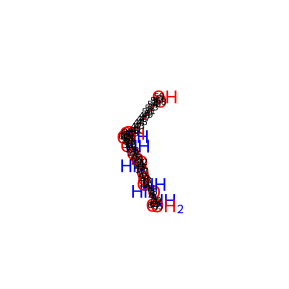 N[C@@H](CSCC(=O)NCCNC(=O)COCCOCCNC(=O)COCCOCCNC(=O)CC[C@H](NC(=O)CCCCCCCCCCCCCCCCCCC(=O)O)C(=O)O)C(=O)O